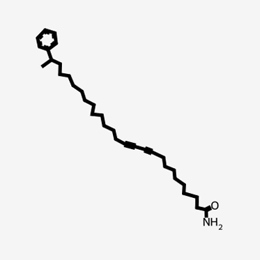 CC(CCCCCCCCCCCCC#CC#CCCCCCCCCC(N)=O)c1ccccc1